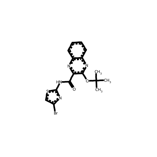 CC(C)(C)Oc1nc2ccccc2nc1C(=O)Nc1nc(Br)cs1